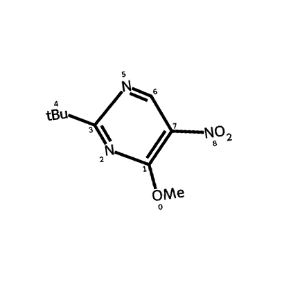 COc1nc(C(C)(C)C)ncc1[N+](=O)[O-]